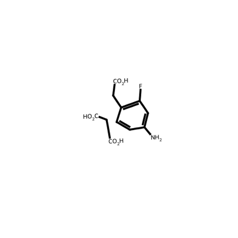 Nc1ccc(CC(=O)O)c(F)c1.O=C(O)CC(=O)O